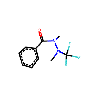 CN(C(=O)c1ccccc1)N(C)C(F)(F)F